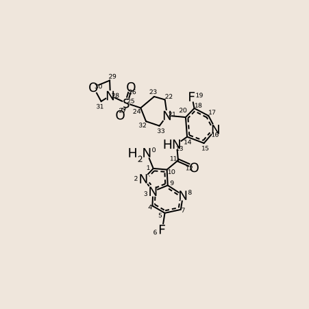 Nc1nn2cc(F)cnc2c1C(=O)Nc1cncc(F)c1N1CCC(S(=O)(=O)N2COC2)CC1